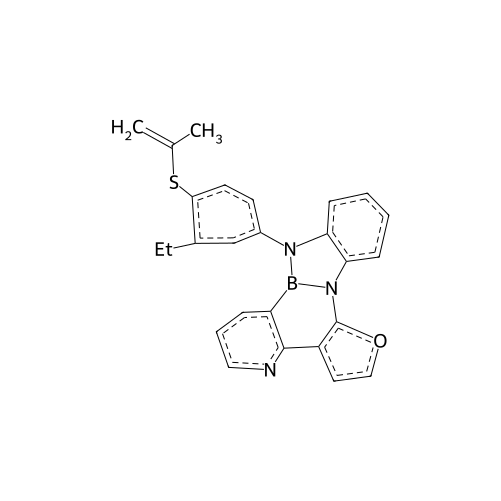 C=C(C)Sc1ccc(N2B3c4cccnc4-c4ccoc4N3c3ccccc32)cc1CC